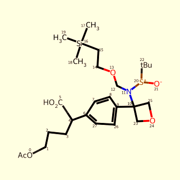 CC(=O)OCCCC(C(=O)O)c1ccc(C2(N(COCC[Si](C)(C)C)[S+]([O-])C(C)(C)C)COC2)cc1